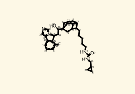 O=C(NCCCCCC1C2CC3CC1CC(C(O)CC1c4c(F)cccc4-c4cncn41)(C3)C2)NCC1CC1